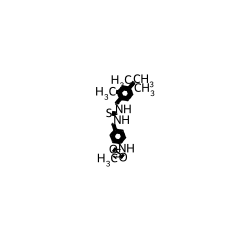 Cc1cc(C(C)(C)C)ccc1CNC(=S)NCc1ccc(NS(C)(=O)=O)cc1